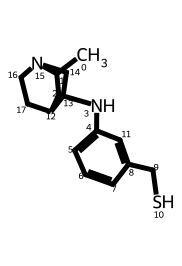 CC1C(Nc2cccc(CS)c2)C2CCN1CC2